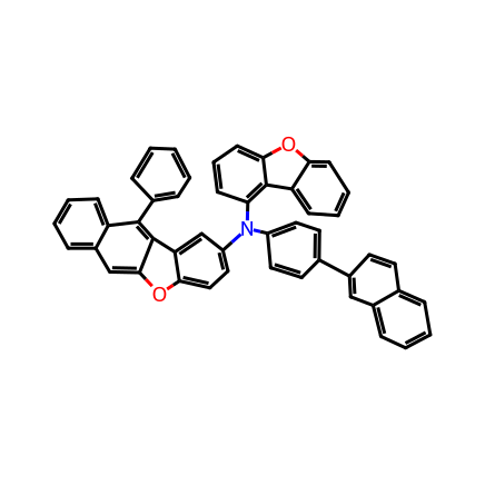 c1ccc(-c2c3ccccc3cc3oc4ccc(N(c5ccc(-c6ccc7ccccc7c6)cc5)c5cccc6oc7ccccc7c56)cc4c23)cc1